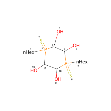 CCCCCCP1(=S)C(O)C(O)P(=S)(CCCCCC)C(O)C1O